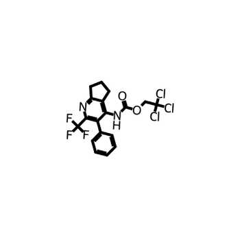 O=C(Nc1c2c(nc(C(F)(F)F)c1-c1ccccc1)CCC2)OCC(Cl)(Cl)Cl